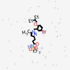 CCC(CC)COc1ccc(Br)cc1Cn1nc(CCC(=O)NS(=O)(=O)C(F)(F)F)cc1C